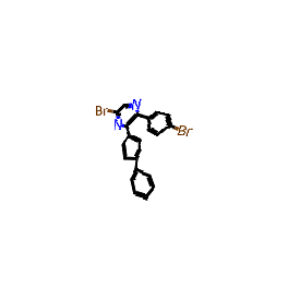 Brc1ccc(-c2ncc(Br)nc2-c2ccc(-c3ccccc3)cc2)cc1